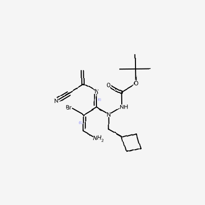 C=C(C#N)/N=C(\C(Br)=C/N)N(CC1CCC1)NC(=O)OC(C)(C)C